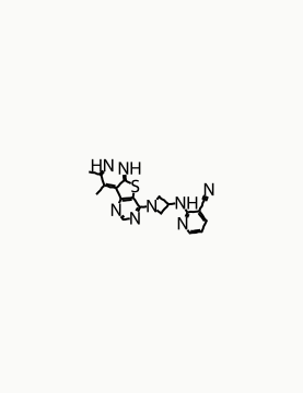 CC(=N)/C(C)=C1\C(=N)Sc2c1ncnc2N1CC(Nc2ncccc2C#N)C1